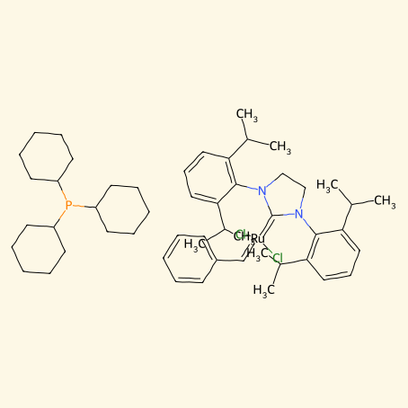 C1CCC(P(C2CCCCC2)C2CCCCC2)CC1.CC(C)c1cccc(C(C)C)c1N1CCN(c2c(C(C)C)cccc2C(C)C)[C]1=[Ru]([Cl])([Cl])=[CH]c1ccccc1